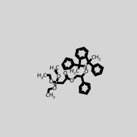 CCO[Si](CC(=O)OCC(ON1C(C)(c2ccccc2)c2ccccc2C1(C)c1ccccc1)c1ccccc1)(OCC)OCC